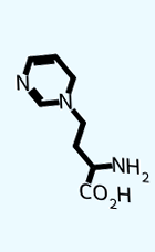 NC(CCN1C=NC=CC1)C(=O)O